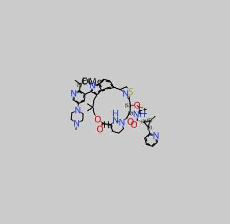 CCO[C@@H]1C2=NC(CS2)c2ccc3c(c2)c(c(-c2cc(N4CCN(C)CC4)cnc2[C@H](C)OC)n3CC)CC(C)(C)COC(=O)[C@@H]2CCCN(N2)C(=O)[C@H]1NC(=O)[C@@H]1[C@@H](C)[C@H]1c1ccccn1